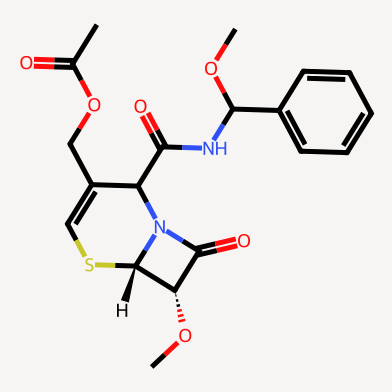 COC(NC(=O)C1C(COC(C)=O)=CS[C@H]2[C@@H](OC)C(=O)N12)c1ccccc1